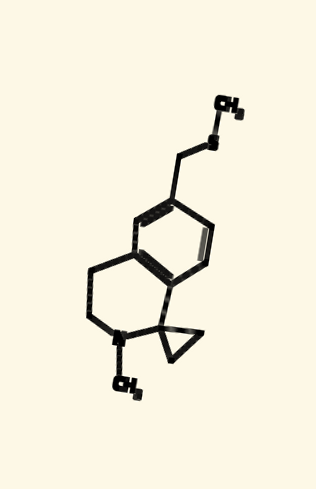 CSCc1ccc2c(c1)CCN(C)C21CC1